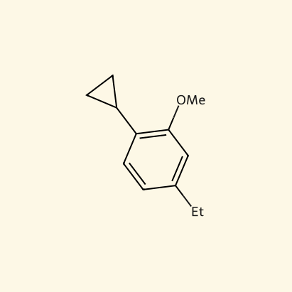 CCc1ccc(C2CC2)c(OC)c1